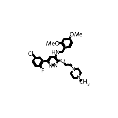 COc1ccc(CNc2cc(-c3cc(Cl)ccc3F)nnc2OCCN2CCN(C)CC2)c(OC)c1